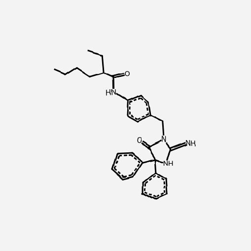 CCCCC(CC)C(=O)Nc1ccc(CN2C(=N)NC(c3ccccc3)(c3ccccc3)C2=O)cc1